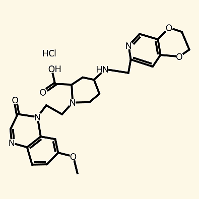 COc1ccc2ncc(=O)n(CCN3CCC(NCc4cc5c(cn4)OCCO5)CC3C(=O)O)c2c1.Cl